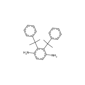 CC(C)(c1ccccc1)c1c(N)ccc(N)c1C(C)(C)c1ccccc1